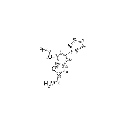 [3H]COc1cc(-c2cc[c]cn2)cc2cc(CN)oc12